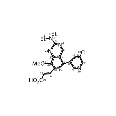 CCN(CC)c1ncc2c(-c3cncc(Cl)c3)cc(C=CC(=O)O)c(OC)c2n1